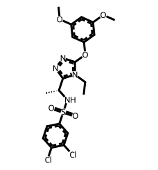 CCn1c(Oc2cc(OC)cc(OC)c2)nnc1[C@@H](C)NS(=O)(=O)c1ccc(Cl)c(Cl)c1